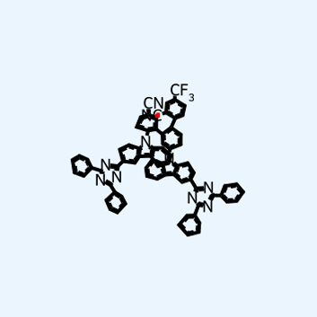 N#Cc1ccc(-n2c3ccccc3c3cc(-c4nc(-c5ccccc5)nc(-c5ccccc5)n4)ccc32)c(-c2cc(-n3c4ccccc4c4cc(-c5nc(-c6ccccc6)nc(-c6ccccc6)n5)ccc43)ccc2-c2ccc(C(F)(F)F)cc2C#N)c1